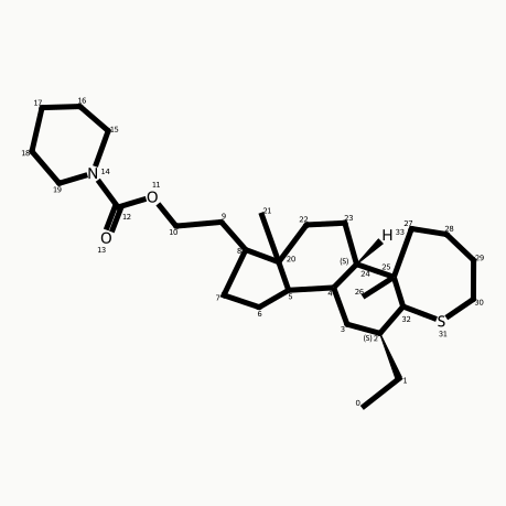 CC[C@H]1CC2C3CCC(CCOC(=O)N4CCCCC4)C3(C)CC[C@@H]2C2(C)CCCCSC12